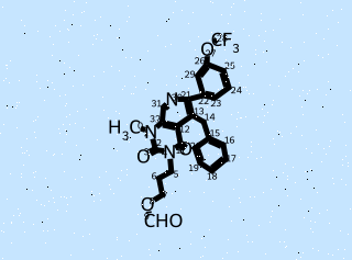 Cn1c(=O)n(CCCOC=O)c(=O)c2c(Cc3ccccc3)c(-c3cccc(OC(F)(F)F)c3)ncc21